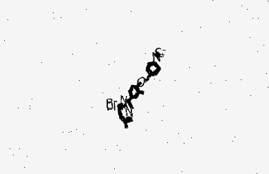 [C-]#[N+]c1ccc(COc2ccc(-c3cn4cc(C)cc(Br)c4n3)cc2C)cc1